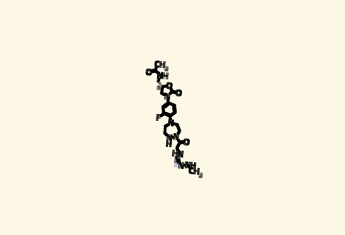 CN/N=N\NCC(=O)N1CCN(c2ccc(N3C[C@H](CNC(C)=O)OC3=O)cc2F)CCN1